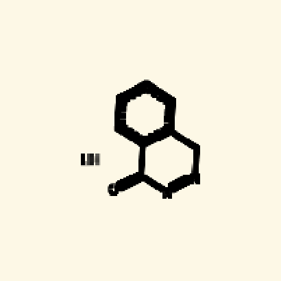 O=C1N=NCc2ccccc21.[LiH]